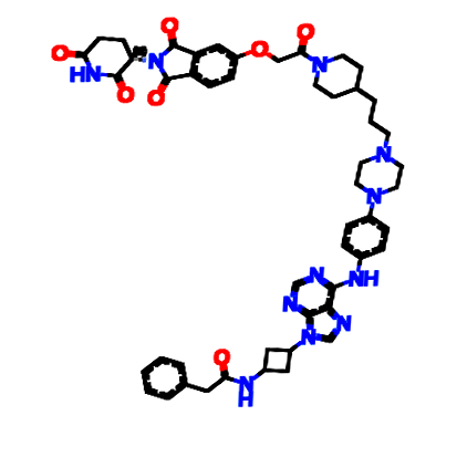 O=C1CC[C@H](N2C(=O)c3ccc(OCC(=O)N4CCC(CCCN5CCN(c6ccc(Nc7ncnc8c7ncn8C7CC(NC(=O)Cc8ccccc8)C7)cc6)CC5)CC4)cc3C2=O)C(=O)N1